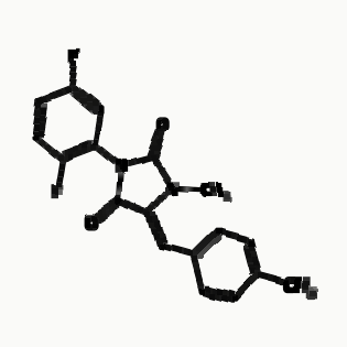 Cc1ccc(/C=C2/C(=O)N(c3cc(F)ccc3F)C(=O)N2C)cc1